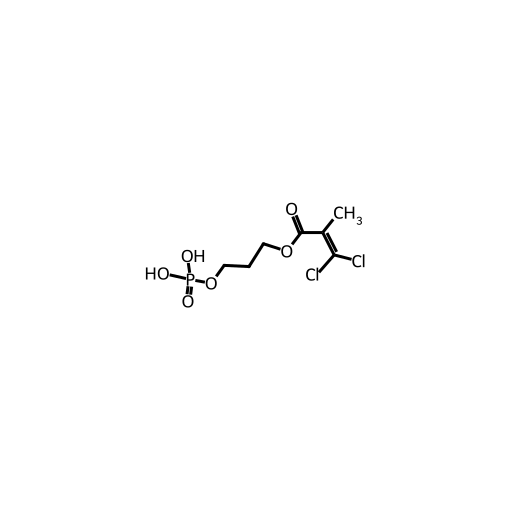 CC(C(=O)OCCCOP(=O)(O)O)=C(Cl)Cl